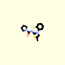 Cc1cn(-c2ccccc2F)/c(=N/C(=O)N2CCCC2)s1